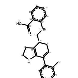 Cc1ccccc1C1=CC[C@H](CNc2cnccc2C(=O)O)C2=C1OCC2